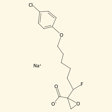 O=C([O-])C1(C(F)CCCCCOc2ccc(Cl)cc2)CO1.[Na+]